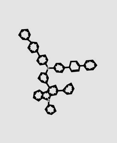 C1=CC(c2ccc(N(c3ccc(-c4ccc(-c5ccccc5)cc4)cc3)c3cccc(-c4cc(-c5ccccc5)cc5c4c4ccccc4n5-c4ccccc4)c3)cc2)CC=C1c1ccccc1